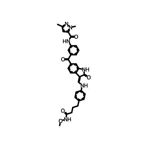 CONC(=O)CCCc1ccc(NC=C2C(=O)Nc3cc(C(=O)c4cccc(NC(=O)c5cc(C)nn5C)c4)ccc32)cc1